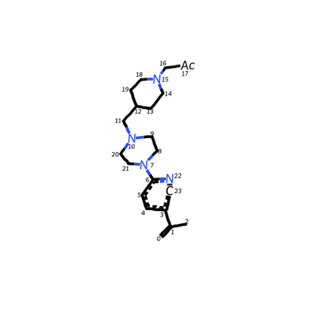 C=C(C)c1ccc(N2CCN(CC3CCN(CC(C)=O)CC3)CC2)nc1